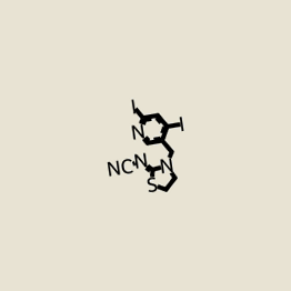 N#CN=C1SCCN1Cc1cnc(I)cc1I